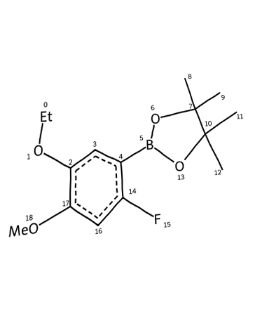 CCOc1cc(B2OC(C)(C)C(C)(C)O2)c(F)cc1OC